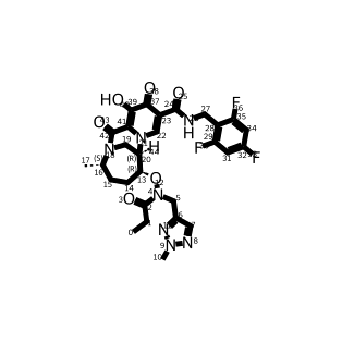 CCC(=O)N(Cc1cnn(C)n1)O[C@@H]1CC[C@H](C)N2C[C@H]1n1cc(C(=O)NCc3c(F)cc(F)cc3F)c(=O)c(O)c1C2=O